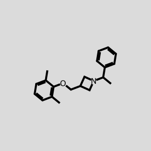 Cc1cccc(C)c1OCC1CN(C(C)c2ccccc2)C1